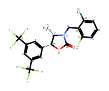 C[C@H]1[C@@H](c2cc(C(F)(F)F)cc(C(F)(F)F)c2)OC(=O)N1Cc1c(F)cccc1Cl